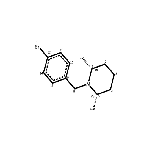 C[C@@H]1CCC[C@H](C)N1Cc1ccc(Br)cc1